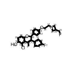 CC1=C(c2ccc(F)cc2)C(c2ccc(OCCN3CC(CF)C3)cc2)Oc2ccc(O)c(Cl)c21